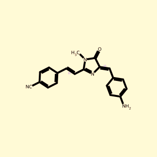 CN1C(=O)/C(=C/c2ccc(N)cc2)N=C1/C=C/c1ccc(C#N)cc1